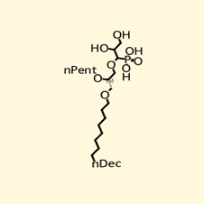 CCCCCCCCCCCCCCCCCCOC[C@@H](COC(C(O)CO)P(=O)(O)O)OCCCCC